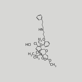 CCOC(=O)C[C@@H]1O[C@@H](c2cccc(OCCCNCCCc3ccccc3)c2OC)c2cc(Cl)ccc2N(CC(C)(C)C)C1=O.Cl